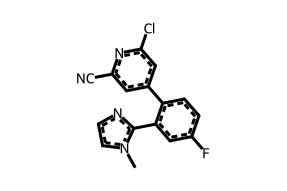 Cn1ccnc1-c1cc(F)ccc1-c1cc(Cl)nc(C#N)c1